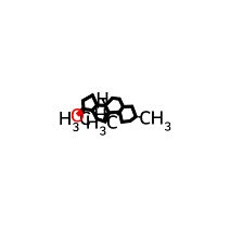 C[C@@H]1CC[C@]2(C)C3=CC[C@]4(C)C(=O)CC[C@H]4[C@@H]3CCC2C1